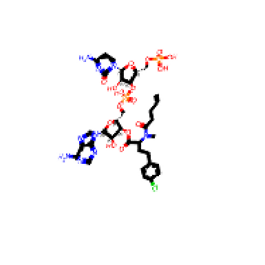 C=CCCC(=O)N(C)C(CCc1ccc(Cl)cc1)C(=O)O[C@H]1[C@@H](O)[C@H](n2cnc3c(N)ncnc32)O[C@@H]1COP(=O)(O)O[C@H]1[C@@H](O)[C@H](n2ccc(N)nc2=O)O[C@@H]1COP(=O)(O)O